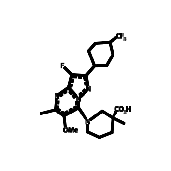 COc1c(C)nc2c(F)c(C3CCC(C(F)(F)F)CC3)nn2c1N1CCC[C@](C)(C(=O)O)C1